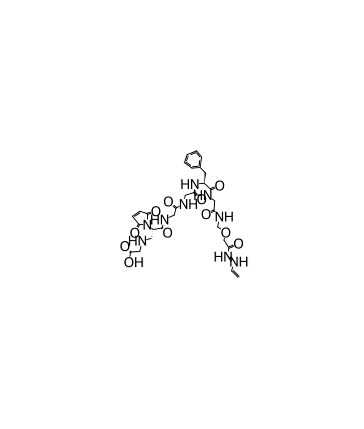 C=CNNC(=O)COCNC(=O)CNC(=O)[C@H](Cc1ccccc1)NC(=O)CNC(=O)CNC(=O)[C@H](CNCC(=O)O)N1C(=O)C=CC1=O